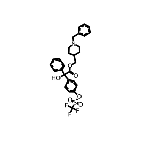 O=C(OCC1CCN(Cc2ccccc2)CC1)C(O)(c1ccccc1)c1ccc(OS(=O)(=O)C(F)(F)F)cc1